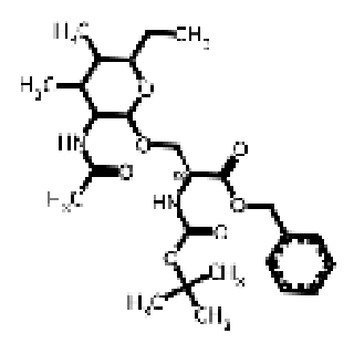 CCC1OC(OC[C@H](NC(=O)OC(C)(C)C)C(=O)OCc2ccccc2)C(NC(C)=O)C(C)C1C